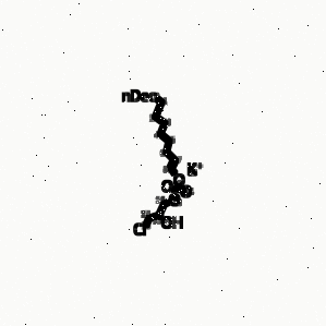 CCCCCCCCCCCCCCCC/C=C/OP(=O)([O-])OCC(O)CCl.[K+]